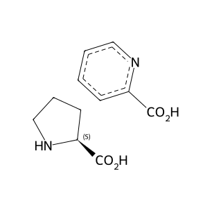 O=C(O)[C@@H]1CCCN1.O=C(O)c1ccccn1